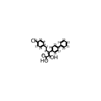 O=C(O)/C(O)=C(\CCc1ccc(Cl)cc1)c1ccc(-c2ccccc2)cc1